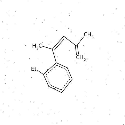 C=C(C)/C=C(/C)c1ccccc1CC